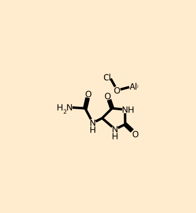 NC(=O)NC1NC(=O)NC1=O.[Al][O]Cl